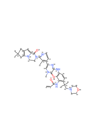 C=CC(=O)Nc1cc(Nc2nc(-c3ccnc(N4CCn5c(cc6c5CC(C)(C)C6)C4=O)c3C)cn(C)c2=O)ccc1C(C)(C)CN1CCOCC1